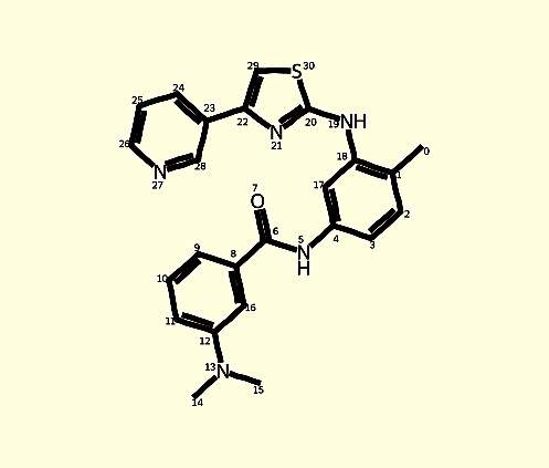 Cc1ccc(NC(=O)c2cccc(N(C)C)c2)cc1Nc1nc(-c2cccnc2)cs1